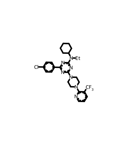 CCN(c1nc(-c2ccc(Cl)cc2)nc(N2CCN(c3ncccc3C(F)(F)F)CC2)n1)C1CCCCC1